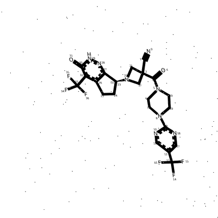 N#CC1(C(=O)N2CCN(c3ncc(C(F)(F)F)cn3)CC2)CN([C@H]2CCc3c2n[nH]c(=O)c3C(F)(F)F)C1